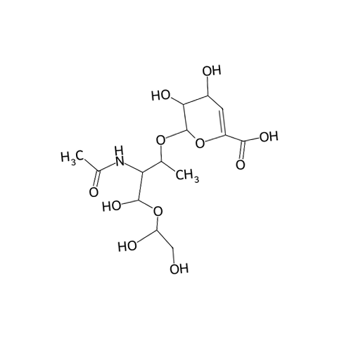 CC(=O)NC(C(C)OC1OC(C(=O)O)=CC(O)C1O)C(O)OC(O)CO